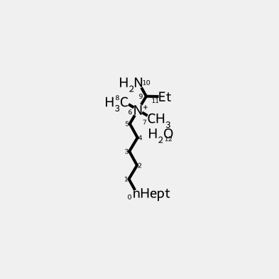 CCCCCCCCCCCC[N+](C)(C)C(N)CC.O